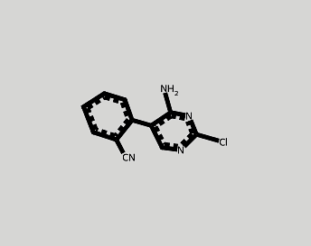 N#Cc1ccccc1-c1cnc(Cl)nc1N